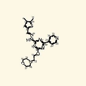 Cc1cc(C=NNc2nc(OCCN3CCOCC3)nc(-c3ccncc3)n2)sc1C